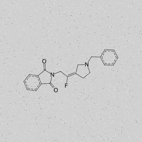 O=C1c2ccccc2C(=O)N1C/C(F)=C1/CCN(Cc2ccccc2)C1